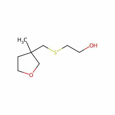 CC1(CSCCO)CCOC1